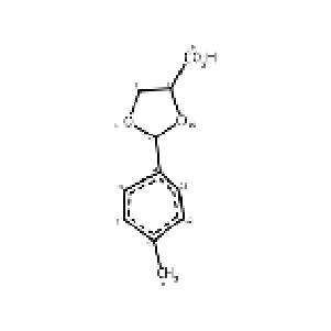 Cc1ccc(C2OCC(C(=O)O)O2)cc1